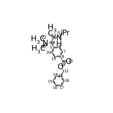 CC(C)N[C@@H](C)[C@H](c1ccc(C(=O)OCc2ccccc2)cc1)N(C)C